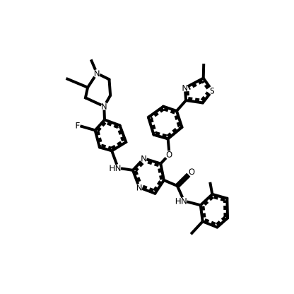 Cc1nc(-c2cccc(Oc3nc(Nc4ccc(N5CCN(C)C(C)C5)c(F)c4)ncc3C(=O)Nc3c(C)cccc3C)c2)cs1